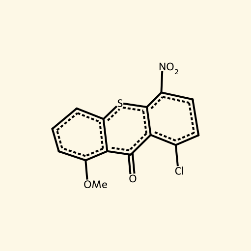 COc1cccc2sc3c([N+](=O)[O-])ccc(Cl)c3c(=O)c12